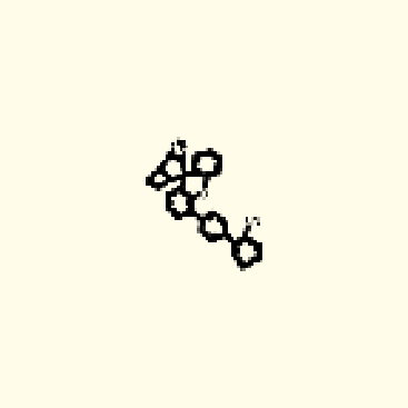 N#Cc1ccccc1-c1ccc(-c2cccc3c2Oc2ccccc2C32c3ccccc3C3C=CC=CC32)cc1